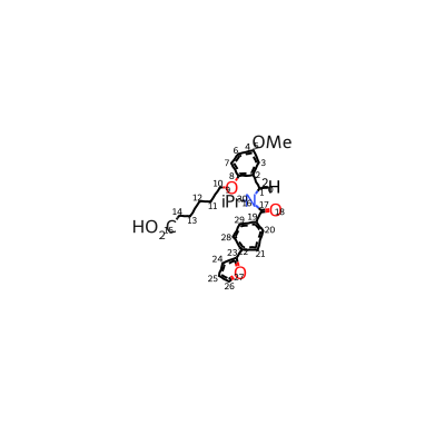 [2H]C(c1cc(OC)ccc1OCCCCCC(=O)O)N(C(=O)c1ccc(-c2ccco2)cc1)C(C)C